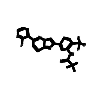 CC(C)(C)C(=O)Nc1cc(-c2cn3nc(-c4cccnc4F)ccc3n2)ccc1C(F)(F)F